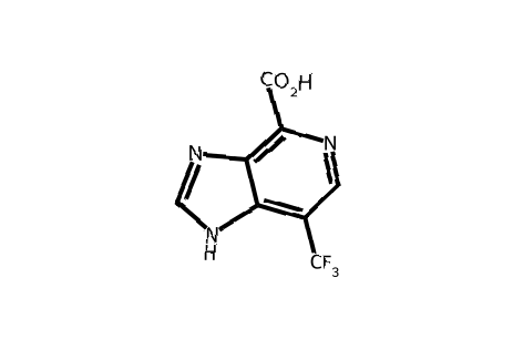 O=C(O)c1ncc(C(F)(F)F)c2[nH]cnc12